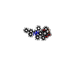 c1ccc(-c2cc(-c3ccc(-c4ccccc4)c4ccccc34)nc(-c3ccccc3-c3cccc4c3-c3ccccc3C43c4ccccc4C4(c5ccccc5Sc5ccccc54)c4ccccc43)n2)cc1